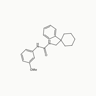 COc1cccc(NC(=O)NCC2(c3ccccc3)CCCCC2)c1